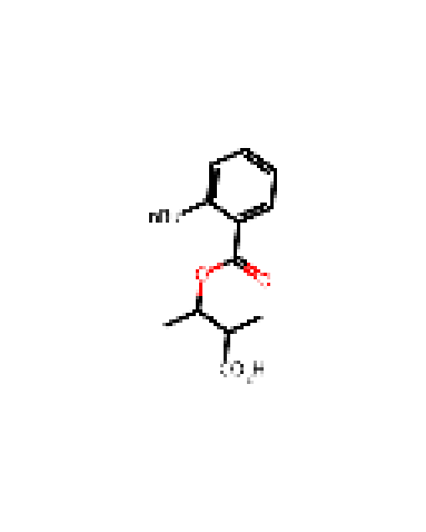 CCCCc1ccccc1C(=O)OC(C)C(C)C(=O)O